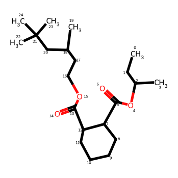 CCC(C)OC(=O)C1CCCCC1C(=O)OCCC(C)CC(C)(C)C